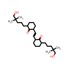 CC(C)(CO)CCCC1CCCC(C=CC2CCCC(CCCC(C)(C)CO)C2=O)C1=O